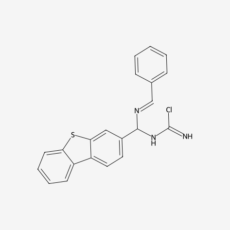 N=C(Cl)NC(/N=C/c1ccccc1)c1ccc2c(c1)sc1ccccc12